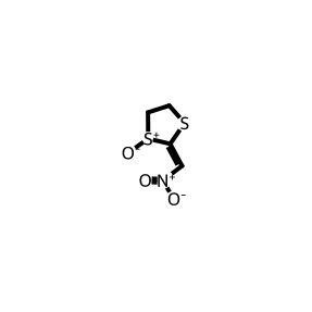 O=[N+]([O-])C=C1SCC[S+]1[O-]